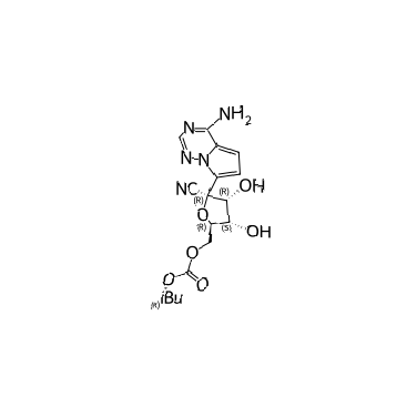 CC[C@@H](C)OC(=O)OC[C@H]1O[C@@](C#N)(c2ccc3c(N)ncnn23)[C@H](O)[C@@H]1O